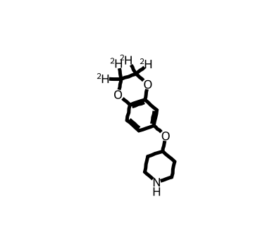 [2H]C1([2H])Oc2ccc(OC3CCNCC3)cc2OC1([2H])[2H]